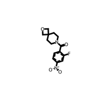 O=C(c1ccc([N+](=O)[O-])cc1F)N1CCC2(CC1)COC2